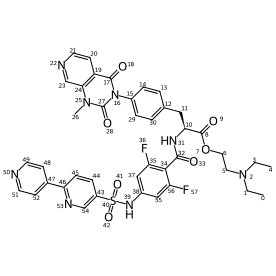 CCN(CC)CCOC(=O)[C@H](Cc1ccc(-n2c(=O)c3ccncc3n(C)c2=O)cc1)NC(=O)c1c(F)cc(NS(=O)(=O)c2ccc(-c3ccncc3)nc2)cc1F